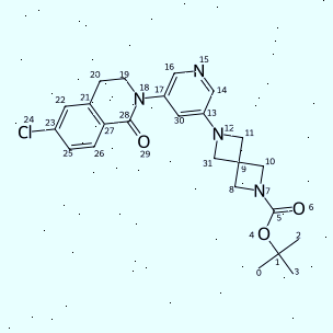 CC(C)(C)OC(=O)N1CC2(C1)CN(c1cncc(N3CCc4cc(Cl)ccc4C3=O)c1)C2